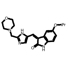 CC(C)Oc1ccc2c(c1)C(=Cc1cnc(CN3CCOCC3)[nH]1)C(=O)N2